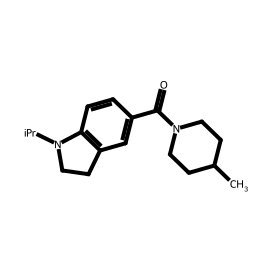 CC1CCN(C(=O)c2ccc3c(c2)CCN3C(C)C)CC1